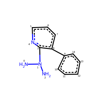 NN(N)c1ncccc1-c1ccccc1